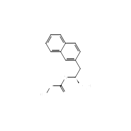 CC(C)(C)OC(=O)N[C@@H](Cc1ccc2ccccc2c1)C(=O)O